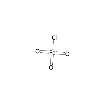 [O]=[Fe](=[O])(=[O])[Cl]